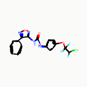 O=C(Nc1ccc(OC(F)(F)C(F)Cl)cc1)Nc1nonc1-c1ccccc1